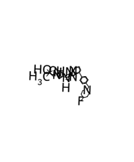 CC(C)(O)Cn1cc(Nc2nc3c(-c4ccc(CN5CCC(F)CC5)cc4)cccn3n2)cn1